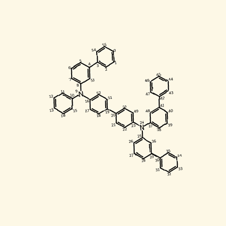 c1ccc(-c2cccc(N(c3ccccc3)c3ccc(-c4ccc(N(c5cccc(-c6ccccc6)c5)c5cccc(-c6ccccc6)c5)cc4)cc3)c2)cc1